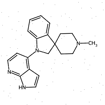 CN1CCC2(CC1)CN(c1ccnc3[nH]ccc13)c1ccccc12